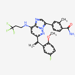 C=C(c1cc(NCCC(F)(F)F)c2ncc(-c3ccc(C(N)=O)c(C)c3)n2n1)c1cc(F)ccc1OC